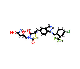 O=C1S/C(=C\c2ccc3c(cnn3Cc3ccc(Cl)cc3C(F)(F)F)c2)C(=O)N1Cc1cc(O)no1